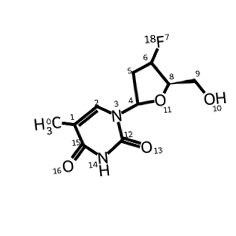 Cc1cn(C2CC([18F])[C@@H](CO)O2)c(=O)[nH]c1=O